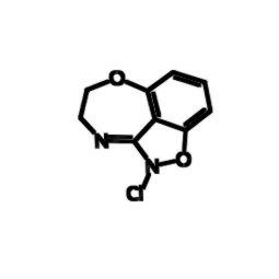 ClN1Oc2cccc3c2C1=NCCO3